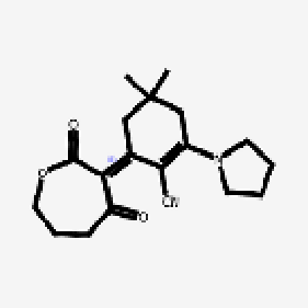 CC1(C)CC(N2CCCC2)=C(C#N)/C(=C2\C(=O)CCCOC2=O)C1